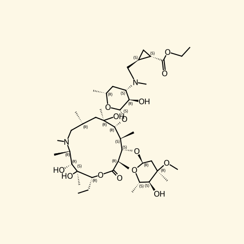 CCOC(=O)[C@H]1C[C@@H]1CN(C)[C@H]1C[C@@H](C)O[C@@H](O[C@@H]2[C@@H](C)[C@H](O[C@H]3C[C@@](C)(OC)[C@@H](O)[C@H](C)O3)[C@@H](C)C(=O)O[C@H](CC)[C@@](C)(O)[C@H](O)[C@@H](C)N(C)C[C@H](C)C[C@@]2(C)O)[C@@H]1O